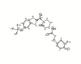 O=C(COc1ccc(Cl)c(F)c1)N[C@H]1CC[C@H](C(=O)N2Cc3ccc(OC(F)(F)F)cc3C2)NC1